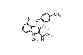 CNC(=O)N(C)c1cccc(Cl)c1COc1ccc(C)cc1C